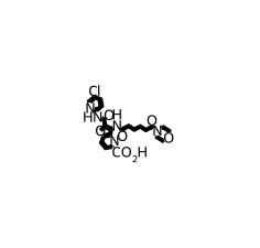 O=C(CCCCC(=O)N1CCOCC1)Nc1c(C(=O)Nc2ccc(Cl)cn2)oc2ccc(C(=O)O)nc12